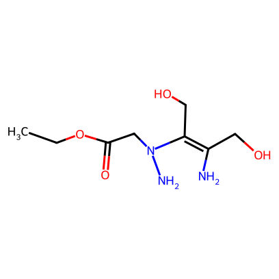 CCOC(=O)CN(N)/C(CO)=C(\N)CO